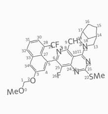 COCOc1cc(-c2nc(C)c3c(N4CC5CCC(C5)C4)nc(SC)nc3c2F)c2c(C(F)(F)F)cccc2c1